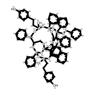 C[Si]1(CCc2ccc(O)cc2)O[Si]2(c3ccccc3)OC3CO[Si](c4ccccc4)(O2)O[Si]24CO[Si](c5ccccc5)(O[Si](C)(CCc5ccc(O)cc5)O[SiH]3c3ccccc3)O[Si](OSc3ccccc3)(c3ccccc3)C2(c2ccccc2)O[Si](c2ccccc2)(O1)O4